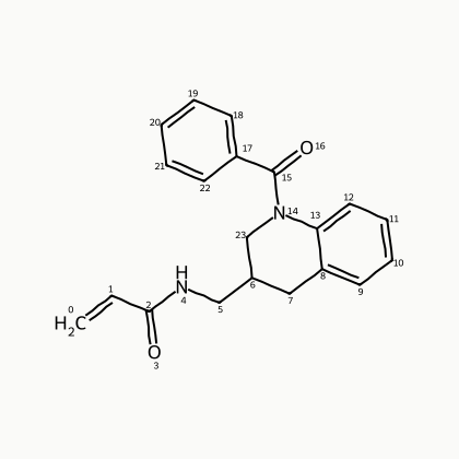 C=CC(=O)NCC1Cc2ccccc2N(C(=O)c2ccccc2)C1